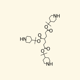 CC(C)(OC(=O)CCC(CCC(=O)OC(C)(C)C1CCNCC1)C(=O)OC(C)(C)C1CCNCC1)C1CCNCC1